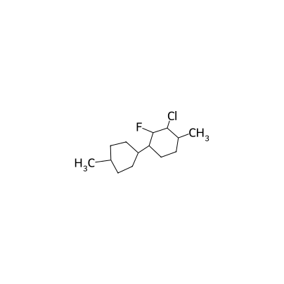 CC1CCC(C2CCC(C)C(Cl)C2F)CC1